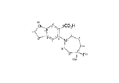 O=C(O)c1cc2c(cc1N1CCCC(F)(F)CC1)CCO2